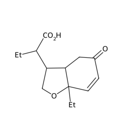 CCC(C(=O)O)C1COC2(CC)C=CC(=O)CC12